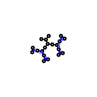 c1ccc(-c2cc(-c3ccccc3)cc(-c3cc(-c4ccc(-c5cc(-c6ccc(-n7c8ccccc8c8ccccc87)cc6)nc(-c6ccc(-n7c8ccccc8c8ccccc87)cc6)c5)cc4)cc(-c4ccc(-c5cc(-c6ccc(-n7c8ccccc8c8ccccc87)cc6)nc(-c6ccc(-n7c8ccccc8c8ccccc87)cc6)c5)cc4)c3)c2)cc1